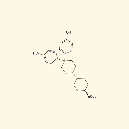 CCCCCCCC[C@H]1CC[C@H](C2CCC(c3ccc(O)cc3)(c3ccc(O)cc3)CC2)CC1